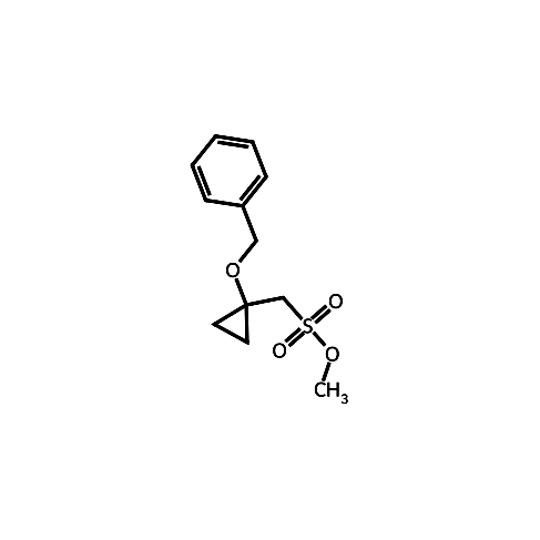 COS(=O)(=O)CC1(OCc2ccccc2)CC1